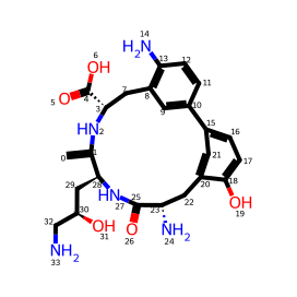 C=C1N[C@H](C(=O)O)Cc2cc(ccc2N)-c2ccc(O)c(c2)C[C@H](N)C(=O)N[C@H]1C[C@@H](O)CN